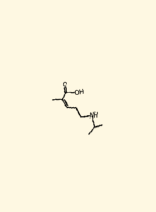 CC(=CCCNC(C)C)C(=O)O